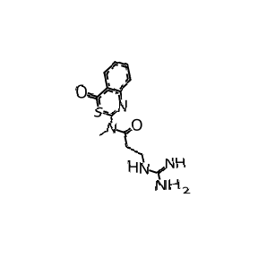 CN(C(=O)CCNC(=N)N)c1nc2ccccc2c(=O)s1